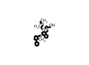 C=C(/C=N\C=C/C)COc1cc(OCc2cccc(-c3ccccc3)c2C)c2c(c1CN1CCC1CO)CCC2